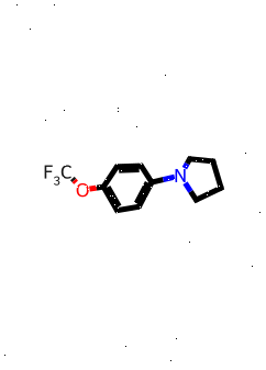 FC(F)(F)Oc1ccc(N2CCCC2)cc1